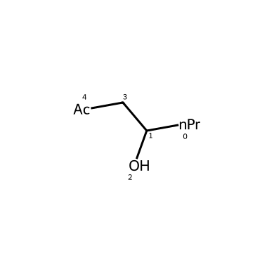 CCCC(O)CC(C)=O